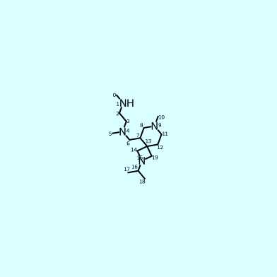 CNCCN(C)CC1CN(C)CCC12CN(C(C)C)C2